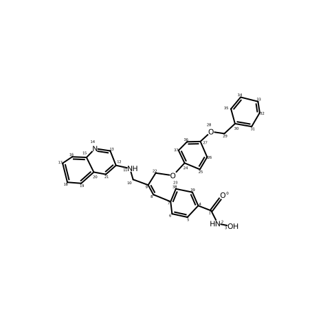 O=C(NO)c1ccc(C=C(CNc2cnc3ccccc3c2)COc2ccc(OCc3ccccc3)cc2)cc1